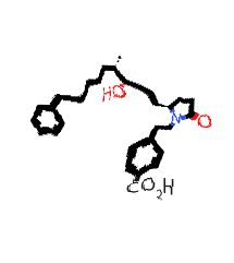 C[C@@H](CCCCCc1ccccc1)[C@@H](O)C=C[C@H]1CCC(=O)N1CCc1ccc(C(=O)O)cc1